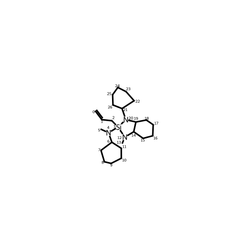 C=CC[Si]1(N(C)C2CCCCC2)N(C)C2CCCCC2N1C1CCCCC1